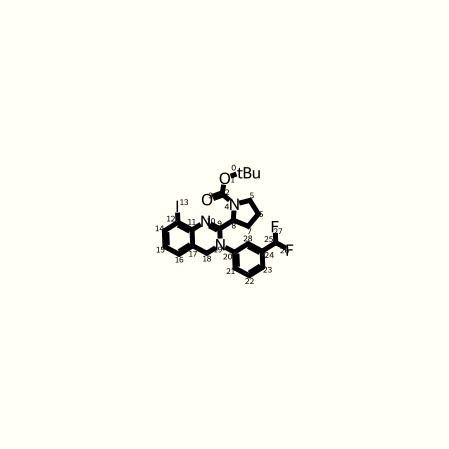 CC(C)(C)OC(=O)N1CCCC1C1=Nc2c(I)cccc2CN1c1cccc(C(F)F)c1